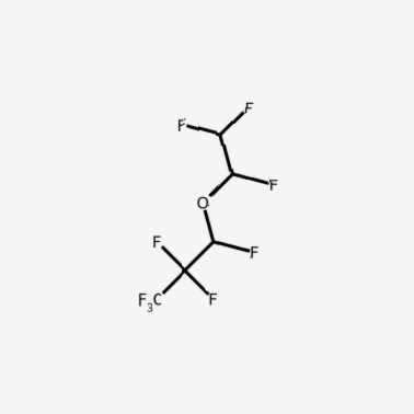 FC(F)C(F)OC(F)C(F)(F)C(F)(F)F